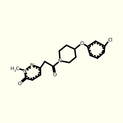 Cn1nc(CC(=O)N2CCC(Oc3cccc(Cl)c3)CC2)ccc1=O